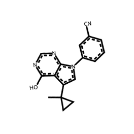 CC1(c2cn(-c3cccc(C#N)c3)c3ncnc(O)c23)CC1